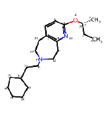 CC[C@@H](C)Oc1ccc2c(n1)CCN(CCC1CCCCC1)CC2